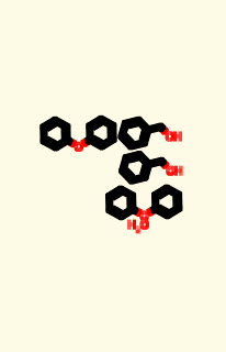 O.OCc1ccccc1.OCc1ccccc1.c1ccc(Oc2ccccc2)cc1.c1ccc(Oc2ccccc2)cc1